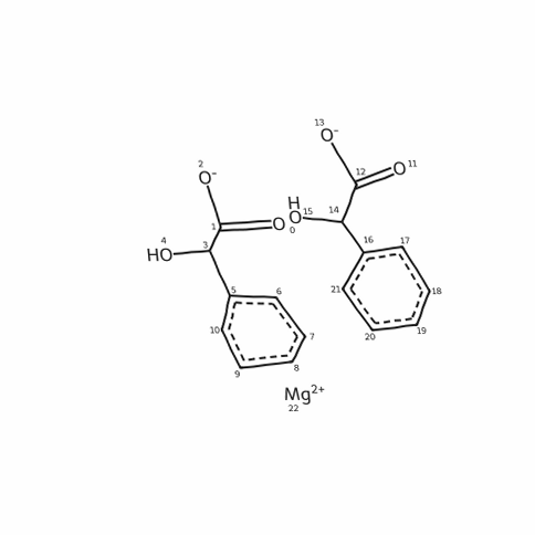 O=C([O-])C(O)c1ccccc1.O=C([O-])C(O)c1ccccc1.[Mg+2]